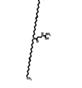 CCCCCCCCC=CCCCCCCCCN(CCCCCCCCC=CCCCCCCCC)C(=O)CCNC(=N)N